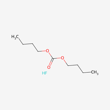 CCCCOC(=O)OCCCC.F